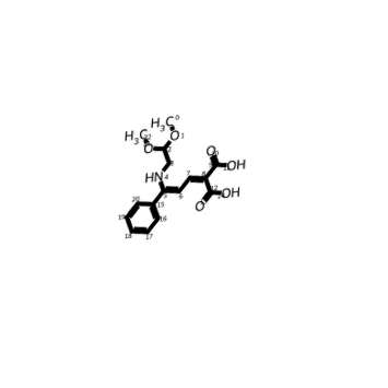 COC(CNC(=CC=C(C(=O)O)C(=O)O)c1ccccc1)OC